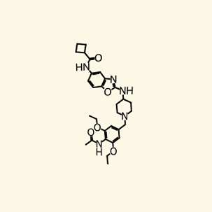 CCOc1cc(CN2CCC(Nc3nc4cc(NC(=O)C5CCC5)ccc4o3)CC2)cc(OCC)c1NC(C)=O